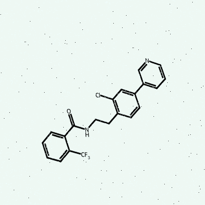 O=C(NCCc1ccc(-c2cccnc2)cc1Cl)c1ccccc1C(F)(F)F